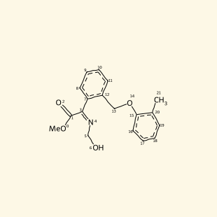 COC(=O)C(=NCO)c1ccccc1COc1ccccc1C